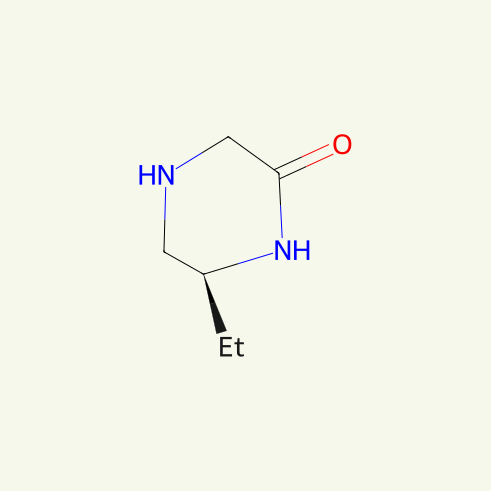 CC[C@H]1CNCC(=O)N1